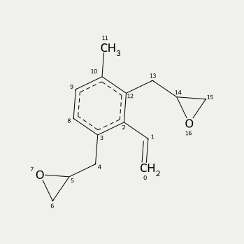 C=Cc1c(CC2CO2)ccc(C)c1CC1CO1